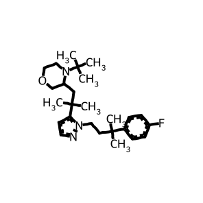 CC(C)(CCn1nccc1C(C)(C)CC1COCCN1C(C)(C)C)c1ccc(F)cc1